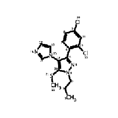 CCCn1nc(-c2ccc(Cl)cc2Cl)c(-n2ccnc2)c1SC